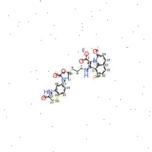 COC(=O)[C@@H]1[C@@H](NCCC[C@@H]2CN(c3ccc4c(c3)NC(=O)CS4)C(=O)O2)c2c(F)ccc3ccc(=O)n1c23